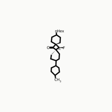 CCCCCCC1CC[C@]2(CC1)C(=O)[C@@]1(CCC(C3CCC(C)CC3)CC1)[C@@H]2F